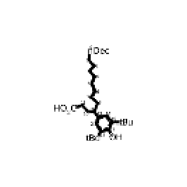 CCCCCCCCCCCCCCCCCCC(CCC(=O)O)c1cc(C(C)(C)C)c(O)c(C(C)(C)C)c1